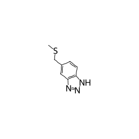 CSCc1ccc2[nH]nnc2c1